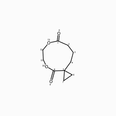 O=C1CCCC2(CC2)C(=O)OCCO1